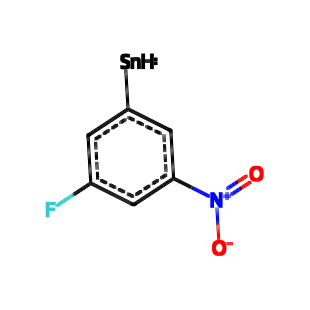 O=[N+]([O-])c1cc(F)c[c]([SnH])c1